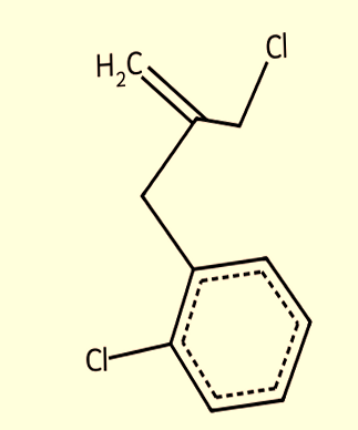 C=C(CCl)Cc1ccccc1Cl